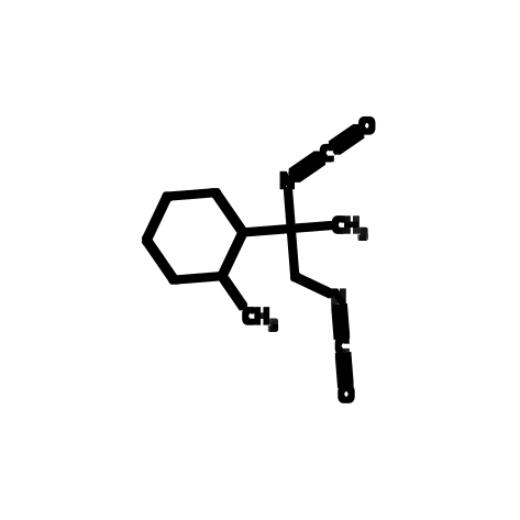 CC1CCCCC1C(C)(CN=C=O)N=C=O